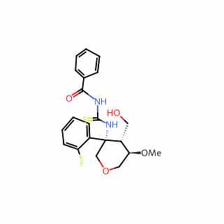 CO[C@H]1COC[C@@](NC(=S)NC(=O)c2ccccc2)(c2ccccc2F)[C@@H]1CO